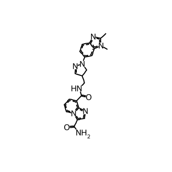 Cc1nc2ccc(N3CC(CNC(=O)c4cccn5c(C(N)=O)cnc45)C=N3)cc2n1C